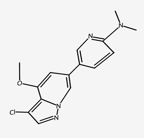 COc1cc(-c2ccc(N(C)C)nc2)cn2ncc(Cl)c12